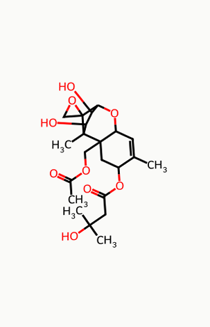 CC(=O)OCC12CC(OC(=O)CC(C)(C)O)C(C)=CC1OC1C(O)C(O)C2(C)C12CO2